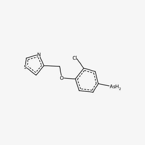 Clc1cc([AsH2])ccc1OCc1cscn1